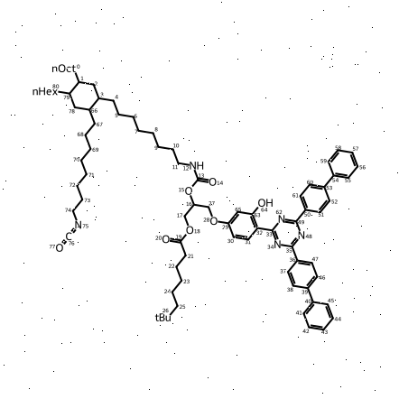 CCCCCCCCC1CC(CCCCCCCCNC(=O)OC(COC(=O)CCCCCC(C)(C)C)COc2ccc(-c3nc(-c4ccc(-c5ccccc5)cc4)nc(-c4ccc(-c5ccccc5)cc4)n3)c(O)c2)C(CCCCCCCCN=C=O)CC1CCCCCC